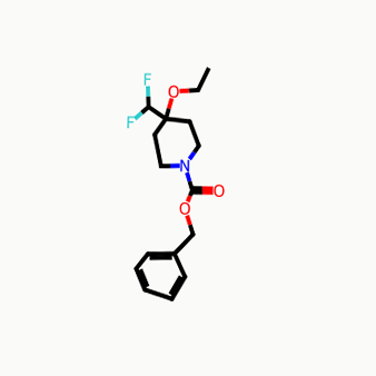 CCOC1(C(F)F)CCN(C(=O)OCc2ccccc2)CC1